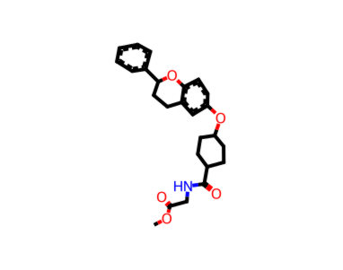 COC(=O)CNC(=O)C1CCC(Oc2ccc3c(c2)CCC(c2ccccc2)O3)CC1